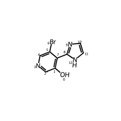 Oc1[c]ncc(Br)c1-c1ncc[nH]1